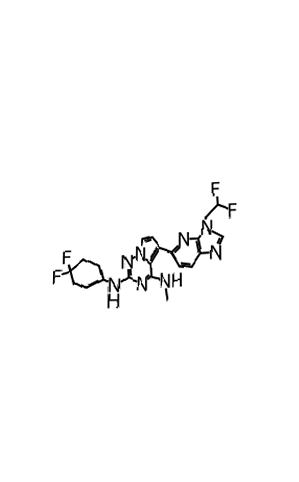 CNc1nc(NC2CCC(F)(F)CC2)nn2ccc(-c3ccc4ncn(CC(F)F)c4n3)c12